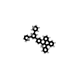 c1ccc(-c2cc(-c3ccc(-c4nc5ccccc5c5c6ccccc6c6ccccc6c45)cc3)cc(-c3cccnc3)n2)nc1